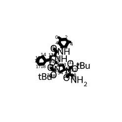 Cc1cc(C)cc(NC(=O)[C@@H](CCc2ccccc2)NC(=O)[C@@H]2C[C@@H](N(C(=O)CN)C(=O)OC(C)(C)C)CN2C(=O)OC(C)(C)C)c1